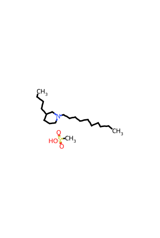 CCCCCCCCCCN1CCCC(CCCC)C1.CS(=O)(=O)O